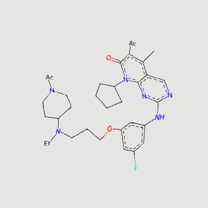 CCN(CCCOc1cc(F)cc(Nc2ncc3c(C)c(C(C)=O)c(=O)n(C4CCCC4)c3n2)c1)C1CCN(C(C)=O)CC1